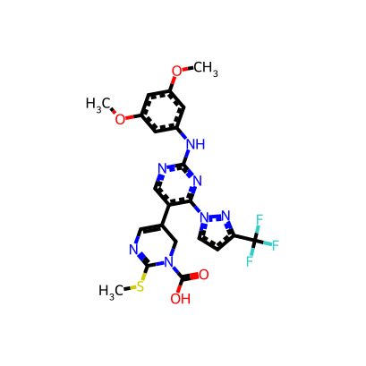 COc1cc(Nc2ncc(C3=CN=C(SC)N(C(=O)O)C3)c(-n3ccc(C(F)(F)F)n3)n2)cc(OC)c1